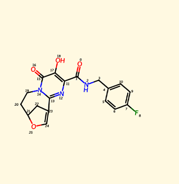 O=C(NCc1ccc(F)cc1)c1nc2n(c(=O)c1O)CCC1CC2=CO1